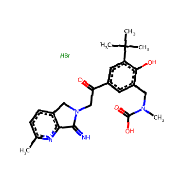 Br.Cc1ccc2c(n1)C(=N)N(CC(=O)c1cc(CN(C)C(=O)O)c(O)c(C(C)(C)C)c1)C2